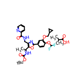 CC(C)C(=O)O.C[C@H](NC(=O)OC(C)(C)C)c1oc(-c2ccc(OC(F)F)c(OCC3CC3)c2)nc1CNC(=O)c1ccccn1